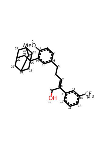 COc1ccc(CC/C=C(\CO)c2cccc(C(F)(F)F)c2)cc1C12CC3CC(CC(C3)C1)C2